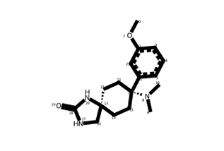 COc1cccc([C@]2(N(C)C)CC[C@]3(CC2)CNC(=O)N3)c1